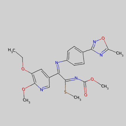 CCOc1cc(C(=N/c2ccc(-c3noc(C)n3)cc2)/C(=N/C(=O)OC)SC)cnc1OC